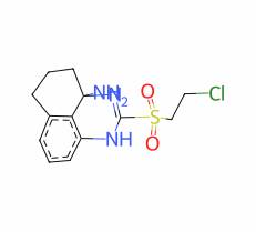 NC12CCCc3cccc(c31)NC(S(=O)(=O)CCCl)=N2